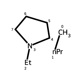 CCCC.CCN1CCCC1